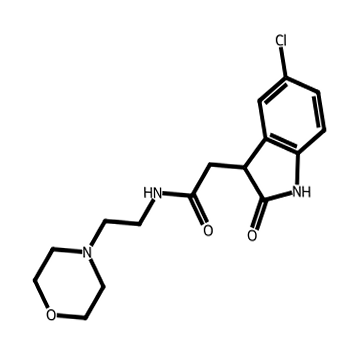 O=C(CC1C(=O)Nc2ccc(Cl)cc21)NCCN1CCOCC1